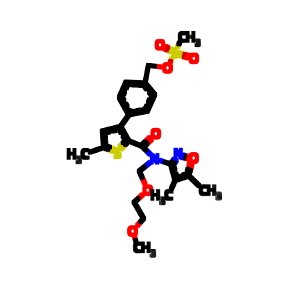 COCCOCN(C(=O)c1sc(C)cc1-c1ccc(COS(C)(=O)=O)cc1)c1noc(C)c1C